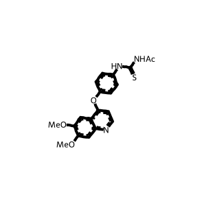 COc1cc2nccc(Oc3ccc(NC(=S)NC(C)=O)cc3)c2cc1OC